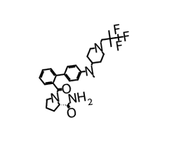 CN(c1ccc(-c2ccccc2C(=O)N2CCC[C@H]2C(N)=O)cc1)C1CCN(CC(C)(C)C(F)(F)F)CC1